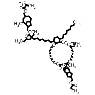 C=CC(=O)OCC1CC2C3CC(C2C1)C(C1(C)CCCCCC(C)(CC)CCCC2C(CCCCCCCC)CCC(CCCCCCCC(CC)(CCCC)C(=O)OCC4CC5CCC(COC(=O)C(=C)C)CC(C)C4C5)C2CCCCCCCCC(=O)O1)C3